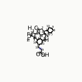 C[C@H]1Cc2c([nH]c3ccccc23)[C@H](c2c(F)cc(/C=C/C(=O)O)cc2F)N1C1CC(F)(F)C1